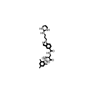 Cc1cc(C)c(S(=O)(=O)NC(CNC(=O)c2ccc3c(cnn3CCCNC3NC=CCN3)c2)C(=O)O)c(C)c1